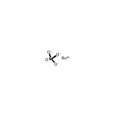 [O-][Si]([O-])([O-])[O-].[Ru+4]